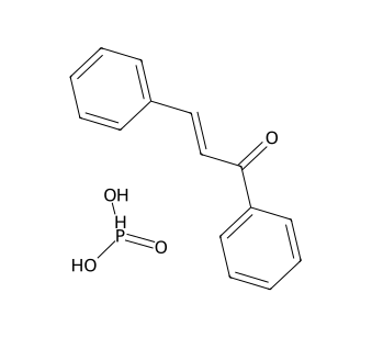 O=C(/C=C/c1ccccc1)c1ccccc1.O=[PH](O)O